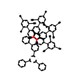 N#Cc1cc(C#N)c(-c2ccc3c(c2)c2cc(-c4c(C#N)cc(C#N)cc4C#N)ccc2n3-c2ccccc2-c2cc(-c3nc(-c4ccccc4)nc(-c4ccccc4)n3)ccc2-n2c3ccc(-c4c(C#N)cc(C#N)cc4C#N)cc3c3cc(-c4c(C#N)cc(C#N)cc4C#N)ccc32)c(C#N)c1